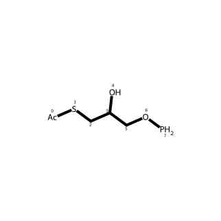 CC(=O)SCC(O)COP